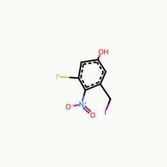 O=[N+]([O-])c1c(F)cc(O)cc1CI